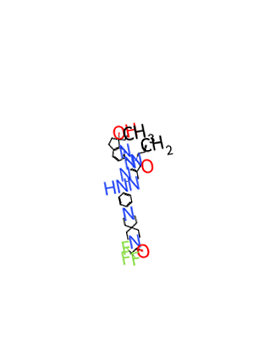 C=CCn1c(=O)c2cnc(Nc3ccc(N4CCC5(CCN(C(=O)C(F)(F)F)CC5)CC4)cc3)nc2n1-c1ccc2c(n1)[C@@](O)(CC)CC2